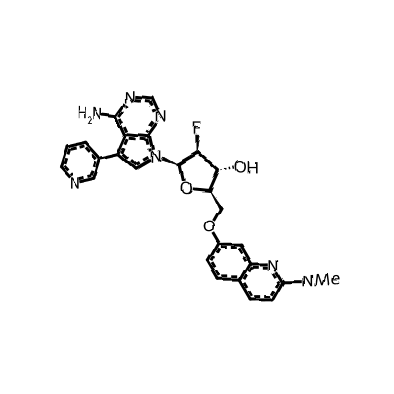 CNc1ccc2ccc(OC[C@H]3O[C@@H](n4cc(-c5cccnc5)c5c(N)ncnc54)[C@@H](F)[C@@H]3O)cc2n1